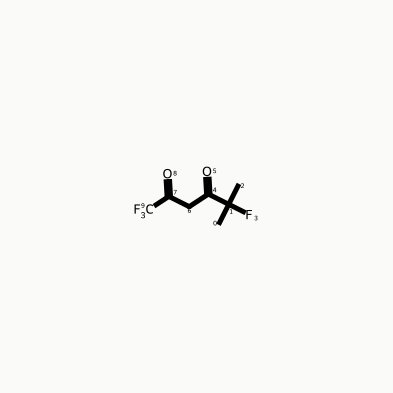 CC(C)(F)C(=O)CC(=O)C(F)(F)F